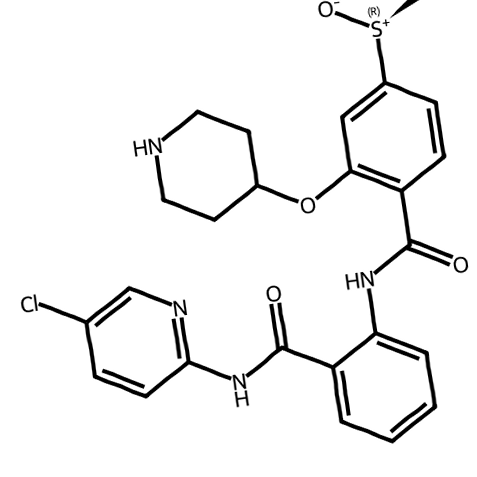 C[S@+]([O-])c1ccc(C(=O)Nc2ccccc2C(=O)Nc2ccc(Cl)cn2)c(OC2CCNCC2)c1